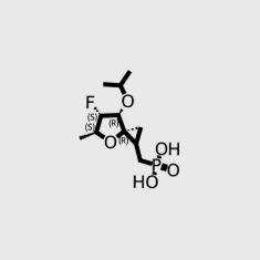 CC(C)O[C@H]1[C@@H](F)[C@H](C)O[C@@]12CC2CP(=O)(O)O